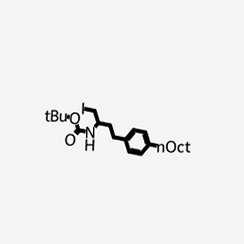 CCCCCCCCc1ccc(CCC(CI)NC(=O)OC(C)(C)C)cc1